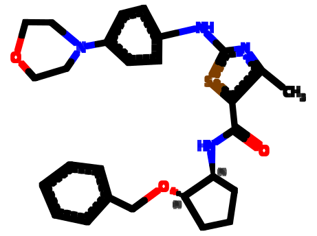 Cc1nc(Nc2ccc(N3CCOCC3)cc2)sc1C(=O)N[C@H]1CCC[C@@H]1OCc1ccccc1